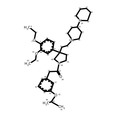 CCOc1ccc(C2(CCN3CCC(N4CCCCC4)CC3)CCN(C(=O)Cc3cccc(OC(C)C)c3)C2)cc1OCC